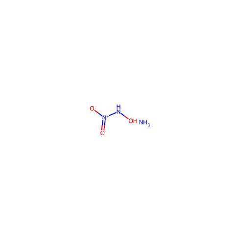 N.O=[N+]([O-])NO